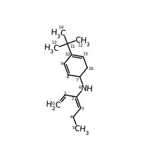 C=C/C(=C\CC)NC1C=CC(C(C)(C)C)=CC1